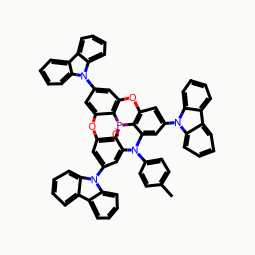 Cc1ccc(N2c3cc(-n4c5ccccc5c5ccccc54)cc4c3P3(=O)c5c(cc(-n6c7ccccc7c7ccccc76)cc5Oc5cc(-n6c7ccccc7c7ccccc76)cc2c53)O4)cc1